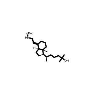 CCCCCCCCCCNC/C=C1\CCC[C@]2(C)[C@@H]([C@H](C)CCCC(C)(C)O)CC[C@@H]12